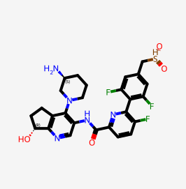 N[C@H]1CCCN(c2c(NC(=O)c3ccc(F)c(-c4c(F)cc(C[SH](=O)=O)cc4F)n3)cnc3c2CC[C@H]3O)C1